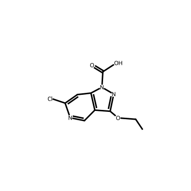 CCOc1nn(C(=O)O)c2cc(Cl)ncc12